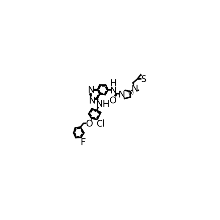 CN(CC1CS1)[C@H]1CCN(C(=O)Nc2ccc3ncnc(Nc4ccc(OCc5cccc(F)c5)c(Cl)c4)c3c2)C1